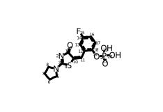 O=C1N=C(N2CCCC2)SC1=Cc1cc(F)ccc1OP(=O)(O)O